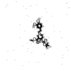 CCOC(=O)C1CN(CCc2ccc(OC)c(OC)c2)CC[C@@H]1NC(=O)OC(C)(C)C